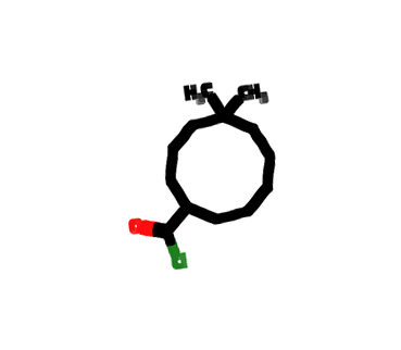 CC1(C)CCCCCC(C(=O)Cl)CCC1